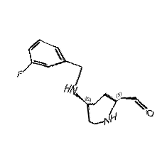 O=C[C@@H]1C[C@H](NCc2cccc(F)c2)CN1